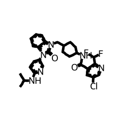 CC(C)Nc1ccc(-n2c(=O)n(CC3CCC(NC(=O)c4cc(Cl)cnc4C(F)F)CC3)c3ccccc32)cn1